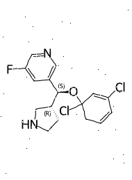 Fc1cncc([C@@H](OC2(Cl)C=C(Cl)C=CC2)[C@@H]2CCNC2)c1